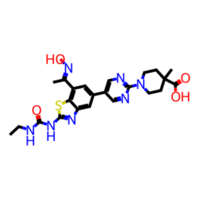 CCNC(=O)Nc1nc2cc(-c3cnc(N4CCC(C)(C(=O)O)CC4)nc3)cc(/C(C)=N/O)c2s1